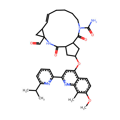 COc1ccc2c(OC3CC4C(=O)NC5([C]=O)CC5/C=C/CCCCN(C(N)=O)C(=O)C4C3)cc(-c3cccc(C(C)C)n3)nc2c1C